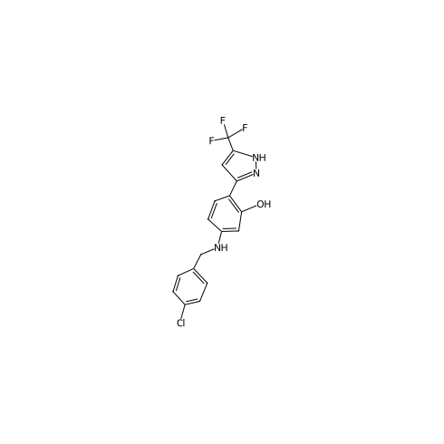 Oc1cc(NCc2ccc(Cl)cc2)ccc1-c1cc(C(F)(F)F)[nH]n1